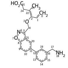 C=C/C(OCc1noc2ccc(-c3cccc(CN)c3)cc12)=C(\C)CC(=O)O